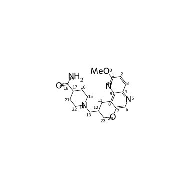 COc1ccc2ncc3c(c2n1)CC(CN1CCC(C(N)=O)CC1)CO3